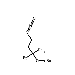 CCCCOC(C)(CC)CCN=[N+]=[N-]